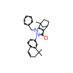 CC1(C)CC=Cc2ccc(-n3c(=O)c4c(n3Cc3ccccc3)C3(C)CCC4C3)cc21